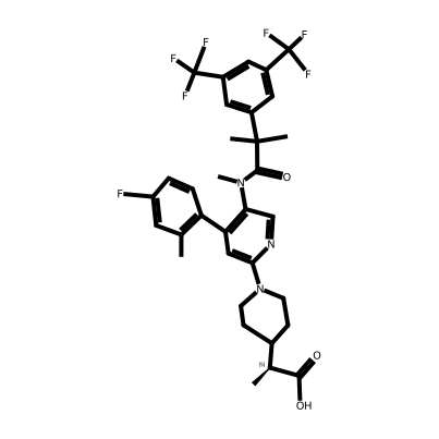 Cc1cc(F)ccc1-c1cc(N2CCC([C@H](C)C(=O)O)CC2)ncc1N(C)C(=O)C(C)(C)c1cc(C(F)(F)F)cc(C(F)(F)F)c1